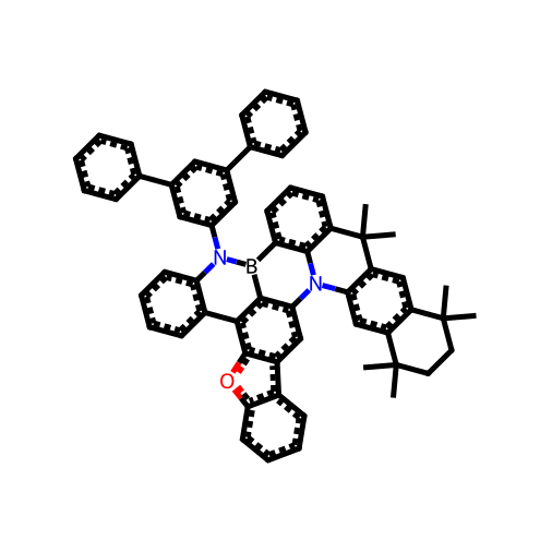 CC1(C)CCC(C)(C)c2cc3c(cc21)N1c2cc4c(oc5ccccc54)c4c2B(c2cccc(c21)C3(C)C)N(c1cc(-c2ccccc2)cc(-c2ccccc2)c1)c1ccccc1-4